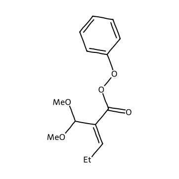 CCC=C(C(=O)OOc1ccccc1)C(OC)OC